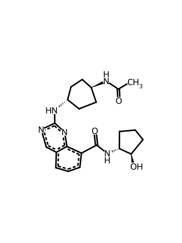 CC(=O)N[C@H]1CC[C@H](Nc2ncc3cccc(C(=O)N[C@@H]4CCC[C@H]4O)c3n2)CC1